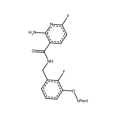 CCCCCOc1cccc(CNC(=O)c2ccc(F)nc2N)c1F